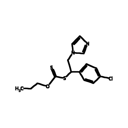 CCCOC(=S)SC(Cn1ccnc1)c1ccc(Cl)cc1